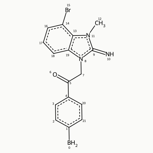 Bc1ccc(C(=O)Cn2c(=N)n(C)c3c(Br)cccc32)cc1